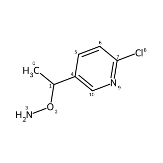 CC(ON)c1ccc(Cl)nc1